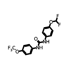 O=C(Nc1ccc(OC(F)F)cc1)Nc1ccc(OC(F)(F)F)cc1